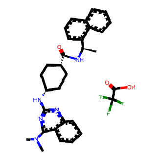 C[C@@H](NC(=O)[C@H]1CC[C@@H](Nc2nc(N(C)C)c3ccccc3n2)CC1)c1cccc2ccccc12.O=C(O)C(F)(F)F